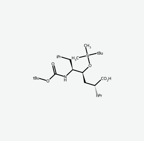 CCC[C@H](C[C@H](O[Si](C)(C)C(C)(C)C)[C@H](CC(C)C)NC(=O)OC(C)(C)C)C(=O)O